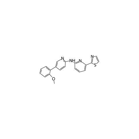 COc1ccccc1-c1ccc(Nc2cccc(-c3nccs3)n2)nc1